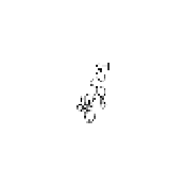 CN(C[C@H]1CC(=O)[C@@]2(C)CCC3c4ccc(O)cc4CCC3C12)S(=O)(=O)c1ccccc1